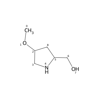 COC1CNC(CO)C1